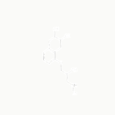 CC(C)NCC(O)COc1cccc2c1CC(O)C(O)C2